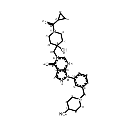 N#CC1CCN(Cc2cccc(-n3ncc4c(=O)n(CC5(O)CCN(C(=O)C6CC6)CC5)cnc43)c2)CC1